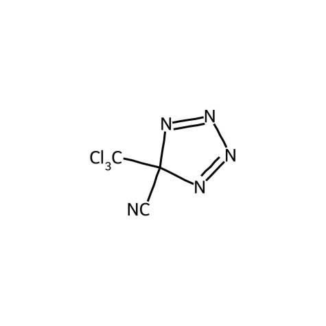 N#CC1(C(Cl)(Cl)Cl)N=NN=N1